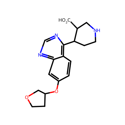 O=C(O)C1CNCCC1c1ncnc2cc(OC3CCOC3)ccc12